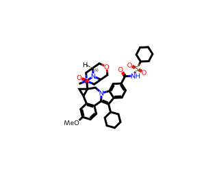 COc1ccc2c(c1)C1CC1(C(=O)N1C3COC[C@@H]1CN(C)C3)Cn1c-2c(C2CCCCC2)c2ccc(C(=O)NS(=O)(=O)C3CCCCC3)cc21